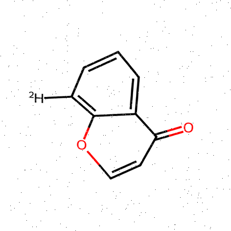 [2H]c1cccc2c(=O)ccoc12